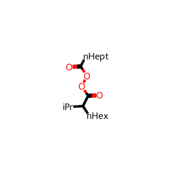 CCCCCCCC(=O)OOC(=O)C(CCCCCC)C(C)C